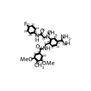 COc1cc(C(=O)NCc2ccc(C(=N)N)cc2N(C)CC(=O)Nc2ccc(F)cc2)cc(OC)c1C